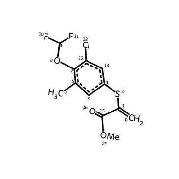 C=C(Sc1cc(C)c(OC(F)F)c(Cl)c1)C(=O)OC